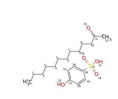 CCCCCCCCCCCC(C)=O.O=S(=O)(O)c1ccc(O)cc1